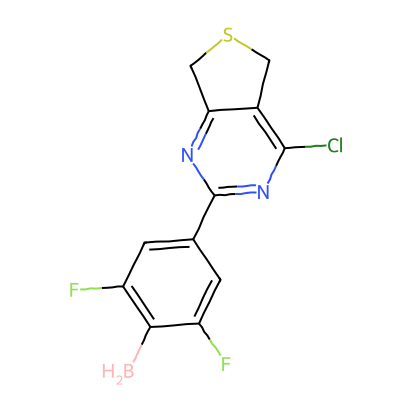 Bc1c(F)cc(-c2nc(Cl)c3c(n2)CSC3)cc1F